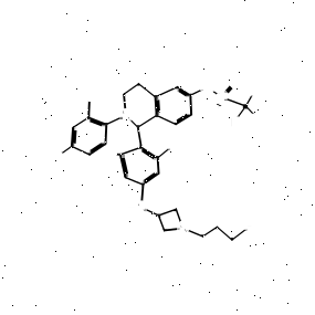 O=S(=O)(Oc1ccc2c(c1)CCN(c1ccc(F)cc1F)C2c1c(F)cc(NC2CN(CCCF)C2)cc1F)C(F)(F)F